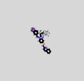 CC(C)(Cc1nc2cc(OCc3ccc4ccccc4n3)ccc2n1Cc1ccc2nonc2c1)C(=O)O